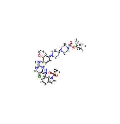 COc1cc(N2CCC(N3CCN(C(=O)OC(C)(C)C)CC3)CC2)ccc1Nc1ncc(Cl)c(Nc2cccc3c2N(S(C)(=O)=O)CC3)n1